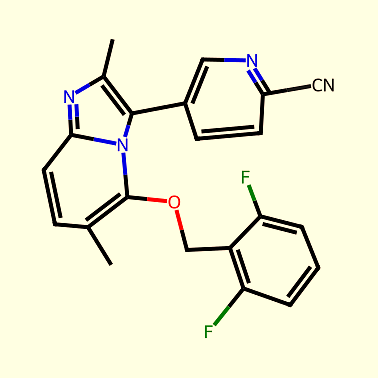 Cc1ccc2nc(C)c(-c3ccc(C#N)nc3)n2c1OCc1c(F)cccc1F